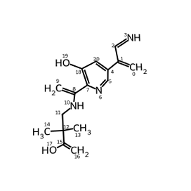 C=C(C=N)c1cnc(C(=C)NCC(C)(C)C(=C)O)c(O)c1